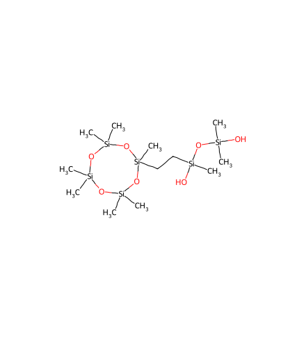 C[Si](C)(O)O[Si](C)(O)CC[Si]1(C)O[Si](C)(C)O[Si](C)(C)O[Si](C)(C)O1